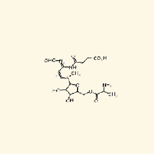 CC(N)C(=O)OCC1OC(N(C)/C=C\C(=N/C=O)NC(=O)CCC(=O)O)C(O)C1O